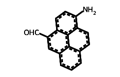 Nc1ccc2c(C=O)cc3cccc4ccc1c2c43